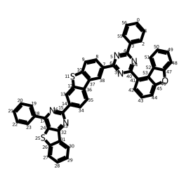 c1ccc(-c2nc(-c3ccc4sc5cc(-c6nc(-c7ccccc7)c7sc8ccccc8c7n6)ccc5c4c3)nc(-c3cccc4oc5ccccc5c34)n2)cc1